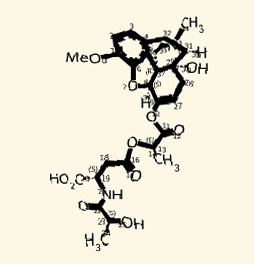 COc1ccc2c3c1O[C@@H]1C(OC(=O)[C@H](C)OC(=O)C[C@H](NC(=O)[C@H](C)O)C(=O)O)=CC[C@]4(O)[C@H](C2)N(C)CC[C@@]314